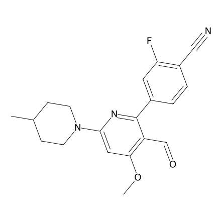 COc1cc(N2CCC(C)CC2)nc(-c2ccc(C#N)c(F)c2)c1C=O